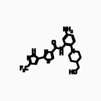 Nc1ccc(N2CCC(CO)CC2)c(NC(=O)c2csc(-c3cc(C(F)(F)F)n[nH]3)n2)c1